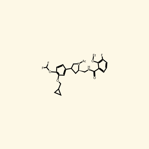 CCOc1c(F)cccc1C(=O)NC[C@H]1CC(c2ccc(OC(F)F)c(OCC3CC3)c2)CN1C(C)=O